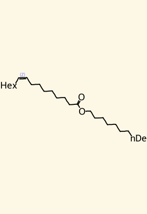 CCCCCC/C=C\CCCCCCCC(=O)OCCCCCCCCCCCCCCCCC